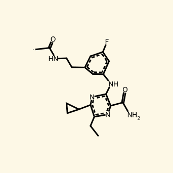 [CH2]C(=O)NCCc1cc(F)cc(Nc2nc(C3CC3)c(CC)nc2C(N)=O)c1